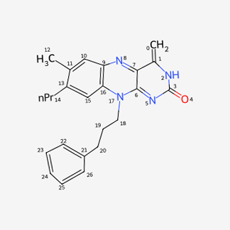 C=c1[nH]c(=O)nc2c1=Nc1cc(C)c(CCC)cc1N2CCCc1ccccc1